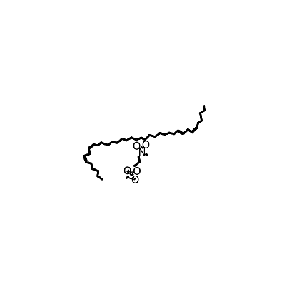 CCCCC/C=C\C/C=C\CCCCCCCCC(CCCCCCCC/C=C/C/C=C\CCCCC)OC(=O)N(C)CCCOS(C)(=O)=O